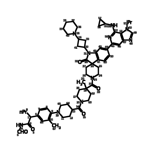 CCCC(C(=O)NC=O)c1ccc(N2CCC(C(=O)N3CCC(C)(C(=O)N4CCC5(CC4)C(=O)N(C4CC(N6CCCCC6)C4)c4cc(-c6cc7ncn(C(C)C)c7c(NC7CC7)n6)ccc45)CC3)CC2)c(C)c1